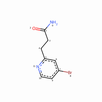 NC(=O)CCc1cc(Br)ccn1